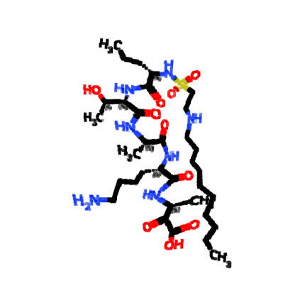 CCCCCCCCCCNCCS(=O)(=O)N[C@@H](CCC)C(=O)N[C@H](C(=O)N[C@@H](C)C(=O)N[C@@H](CCCCN)C(=O)N[C@@H](C)C(=O)C(=O)O)[C@@H](C)O